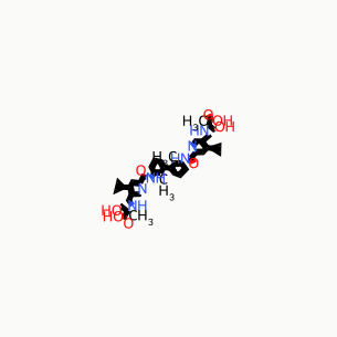 Cc1c(NC(=O)c2cc(C3CC3)c(CN[C@@](C)(CO)C(=O)O)cn2)cccc1-c1cccc(NC(=O)c2cc(C3CC3)c(CN[C@@](C)(CO)C(=O)O)cn2)c1C